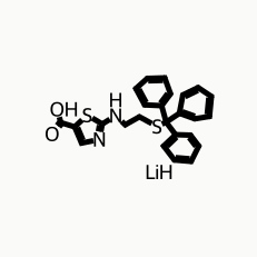 O=C(O)c1cnc(NCCSC(c2ccccc2)(c2ccccc2)c2ccccc2)s1.[LiH]